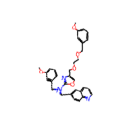 COc1cccc(COCCOCc2coc(N(Cc3cccc(OC)c3)Cc3ccc4ncccc4c3)n2)c1